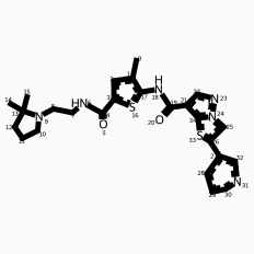 Cc1cc(C(=O)NCCN2CCCC2(C)C)sc1NC(=O)c1cnn2cc(-c3cccnc3)sc12